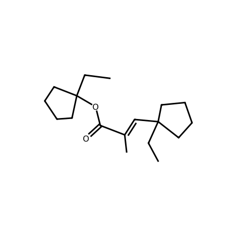 CCC1(C=C(C)C(=O)OC2(CC)CCCC2)CCCC1